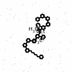 CCC1(CCc2ccc(-c3cccc(-c4cccc(-c5cccc(-c6cccc(CCCCCCc7ccccc7)c6)c5)c4)c3)cc2C2=CC=CCN2C)c2ccc(-c3cccc(-c4cccc(-c5cccc(-c6ccccc6)c5)c4)c3)cc2C2C=CC=CN2C1(C)CC